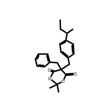 CCC(C)c1ccc(CC2(Cc3ccccc3)C(=O)OC(C)(C)OC2=O)cc1